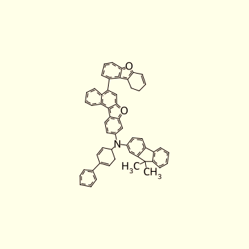 CC1(C)c2ccccc2-c2ccc(N(c3ccc4c(c3)oc3cc(-c5cccc6oc7c(c56)CCC=C7)c5ccccc5c34)C3C=CC(c4ccccc4)=CC3)cc21